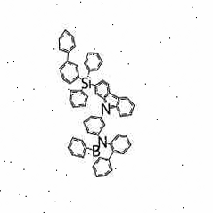 c1ccc(B2c3ccccc3-c3ccccc3N2c2cccc(-n3c4ccccc4c4ccc([Si](c5ccccc5)(c5ccccc5)c5cccc(-c6ccccc6)c5)cc43)c2)cc1